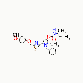 CCC(C)NC(=O)Oc1cc(-c2csc(COc3ccc(OC)cc3)n2)n(CC2CCCCC2)c1C